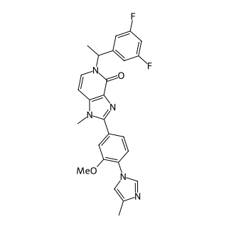 COc1cc(-c2nc3c(=O)n(C(C)c4cc(F)cc(F)c4)ccc3n2C)ccc1-n1cnc(C)c1